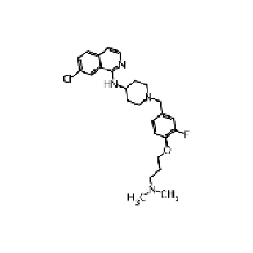 CN(C)CCCOc1ccc(CN2CCC(Nc3nccc4ccc(Cl)cc34)CC2)cc1F